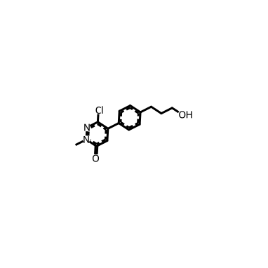 Cn1nc(Cl)c(-c2ccc(CCCO)cc2)cc1=O